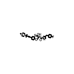 CN1CCN(C(C)(C)C#Cc2ccc3c(c2)N(C)C(=O)[C@@H](NC(=O)n2cc(Cc4ccc(F)cc4)cn2)CO3)CC1